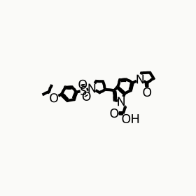 CC(C)Oc1ccc(S(=O)(=O)N2CCC(c3cn(CC(=O)O)c4cc(N5CCCC5=O)ccc34)C2)cc1